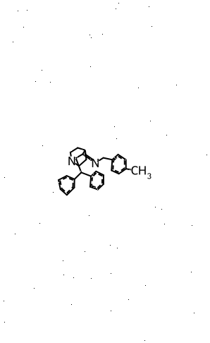 Cc1ccc(C/N=C2\C3CCN(CC3)C2C(c2ccccc2)c2ccccc2)cc1